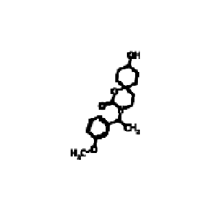 COc1cccc(C(C)N2CCC3(CCC(O)CC3)OC2=O)c1